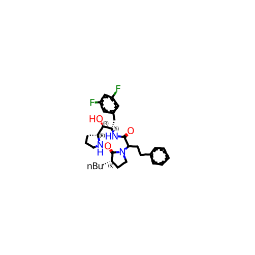 CCCC[C@H]1CCN(C(CCc2ccccc2)C(=O)N[C@@H](Cc2cc(F)cc(F)c2)[C@H](O)[C@H]2CCCN2)C1=O